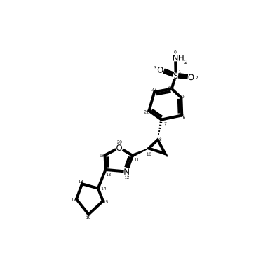 NS(=O)(=O)c1ccc([C@@H]2C[C@H]2c2nc(C3CCCC3)co2)cc1